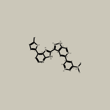 Cc1ccc(-c2ccnc3[nH]c(-c4n[nH]c5cnc(-c6cncc(N(C)C)c6)cc45)nc23)s1